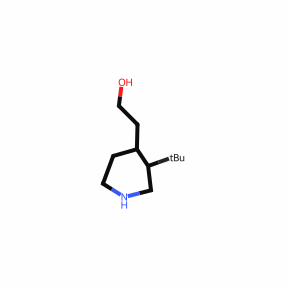 CC(C)(C)C1CNCCC1CCO